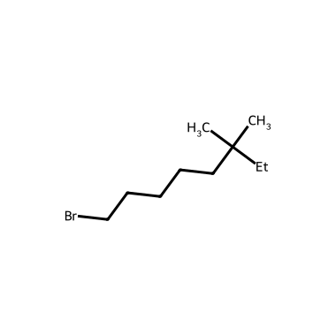 CCC(C)(C)CCCCCBr